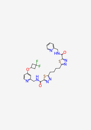 O=C(NCc1ccccn1)c1nnc(CCCCc2nnc(C(=O)NCc3cc(OC4CC(F)(F)C4)ccn3)s2)s1